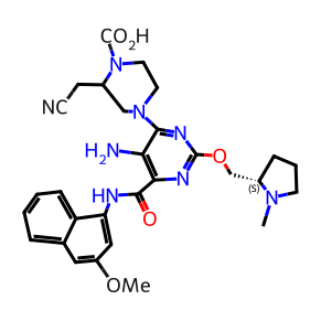 COc1cc(NC(=O)c2nc(OC[C@@H]3CCCN3C)nc(N3CCN(C(=O)O)C(CC#N)C3)c2N)c2ccccc2c1